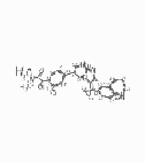 CN(C)C(=O)C(O)c1ccc(-c2cnc3ncc(C4(c5ccc6ncccc6c5)CC4)n3c2)cc1Cl